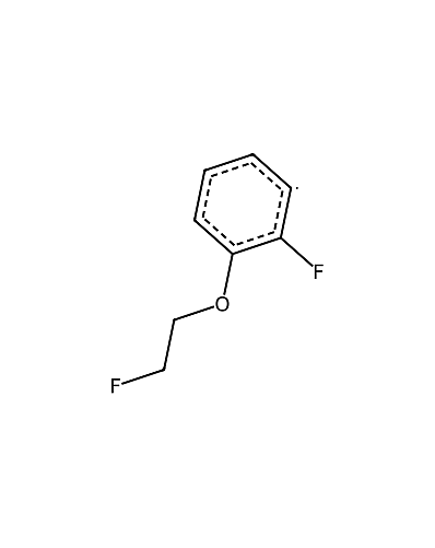 FCCOc1ccc[c]c1F